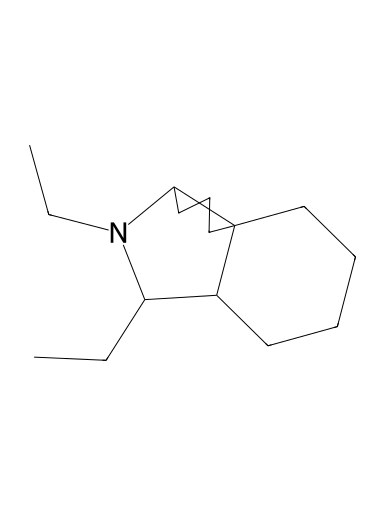 CCC1C2CCCCC23CCCC3N1CC